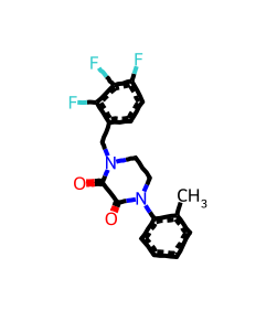 Cc1ccccc1N1CCN(Cc2ccc(F)c(F)c2F)C(=O)C1=O